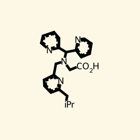 CC(C)Cc1cccc(CN(CC(=O)O)C(c2ccccn2)c2ccccn2)n1